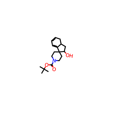 CC(C)(C)OC(=O)N1CCC2(CC1)C1=CC=CCC1CC2O